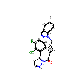 Cc1ccc2c(cnn2CC23CC(C(=O)N4N=CCC4c4cccc(Cl)c4Cl)(C2)C3)c1